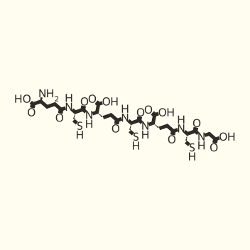 N[C@@H](CCC(=O)N[C@@H](CS)C(=O)N[C@@H](CCC(=O)N[C@@H](CS)C(=O)N[C@@H](CCC(=O)N[C@@H](CS)C(=O)NCC(=O)O)C(=O)O)C(=O)O)C(=O)O